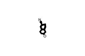 N#Cc1ccc2c(c1)CCC(=O)C2